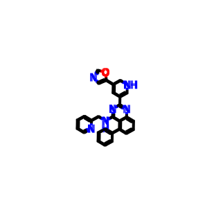 C1=C(c2nc(NCc3ccccn3)c3c(-c4ccccc4)cccc3n2)C=C(c2cnco2)CN1